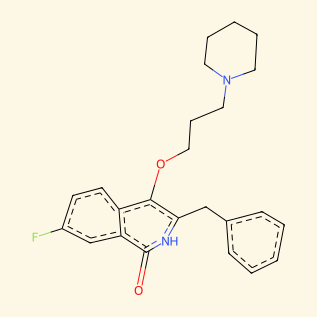 O=c1[nH]c(Cc2ccccc2)c(OCCCN2CCCCC2)c2ccc(F)cc12